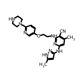 Cc1cc(Nc2cc(C)c(C#N)c(NCCOc3ccc(N4CCNCC4)nc3)n2)n[nH]1